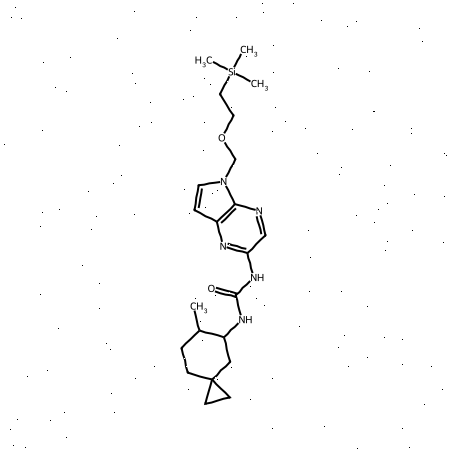 CC1CCC2(CC2)CC1NC(=O)Nc1cnc2c(ccn2COCC[Si](C)(C)C)n1